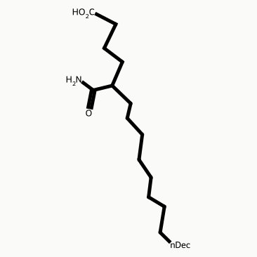 CCCCCCCCCCCCCCCCCCC(CCCC(=O)O)C(N)=O